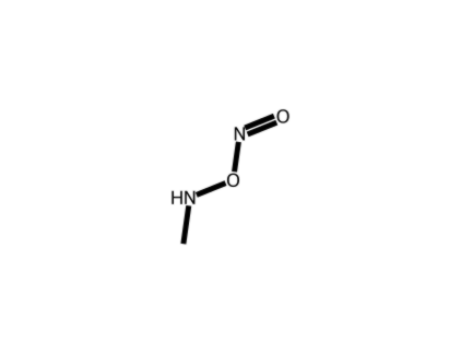 CNON=O